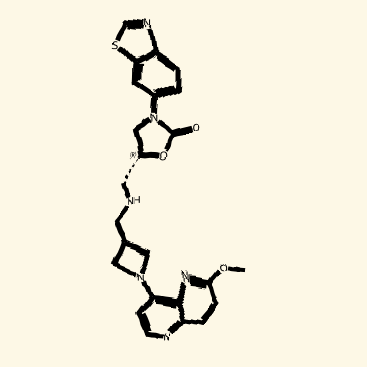 COc1ccc2nccc(N3CC(CNC[C@@H]4CN(c5ccc6ncsc6c5)C(=O)O4)C3)c2n1